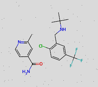 CC(C)(C)NCc1cc(C(F)(F)F)ccc1Cl.Cc1cc(C(N)=O)ccn1